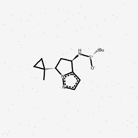 CC1([C@@H]2C[C@@H](N[S@@+]([O-])C(C)(C)C)c3ccnn32)CC1